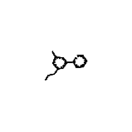 CCCc1cc(C)cc(-c2ccccn2)c1